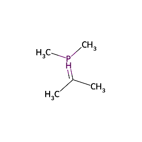 CC(C)=[PH](C)C